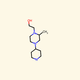 CC1CN(C2CC[N]CC2)CCN1CCO